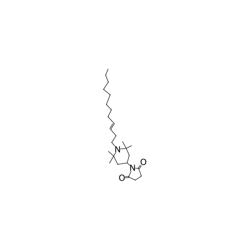 CCCCCCCCC=CCCN1C(C)(C)CC(N2C(=O)CCC2=O)CC1(C)C